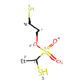 CCC(S)S(=O)(=O)OCCS